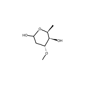 CO[C@@H]1CC(O)O[C@@H](C)[C@H]1O